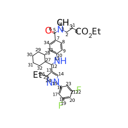 CCOC(=O)CCN(C)C(=O)c1ccc(NC(c2cn(-c3cc(F)cc(F)c3)nc2CC)C2CCCCC2)cc1